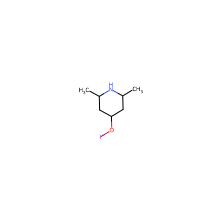 CC1CC(OI)CC(C)N1